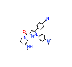 CN[C@@H]1CCCN(C(=O)c2cc(-c3ccc(C#N)cc3)n(-c3ccc(N(C)C)cc3)n2)C1